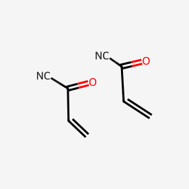 C=CC(=O)C#N.C=CC(=O)C#N